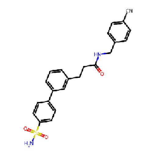 N#Cc1ccc(CNC(=O)CCc2cccc(-c3ccc(S(N)(=O)=O)cc3)c2)cc1